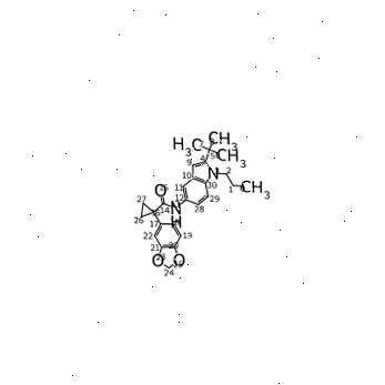 CCCn1c(C(C)(C)C)cc2cc(NC(=O)C3(c4ccc5c(c4)OCO5)CC3)ccc21